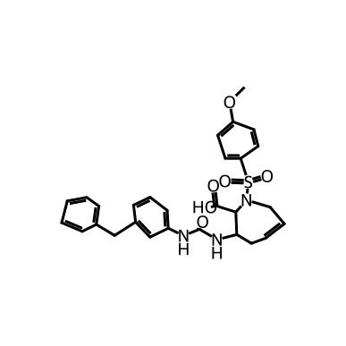 COc1ccc(S(=O)(=O)N2CC=CCC(NC(=O)Nc3cccc(Cc4ccccc4)c3)C2C(=O)O)cc1